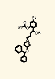 CCc1ccc(C(O)CCCN2CCC(OC(c3ccccc3)c3ccccc3)CC2)c(OC(=O)C(C)C)c1